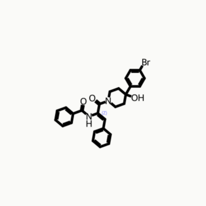 O=C(N/C(=C\c1ccccc1)C(=O)N1CCC(O)(c2ccc(Br)cc2)CC1)c1ccccc1